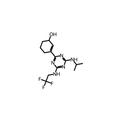 CC(C)Nc1nc(NCC(F)(F)F)nc(C2=CC(O)CCC2)n1